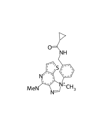 CNc1nc2ccsc2c2c1N=C[N+]2(C)c1cccc(CNC(=O)C2CC2)c1